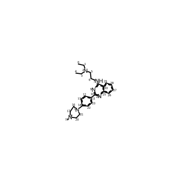 CCN(CC)CCNc1nc(-c2ccc(N3CCN(C)CC3)cc2)nc2ccccc12